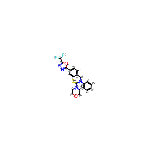 FC(F)c1nnc(-c2ccc(CN(C(=S)N3CCOCC3)c3ccccc3)cc2)o1